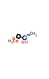 Br.CCCN1CCC[C@@H](c2cccc(S(C)(=O)=O)c2)C1